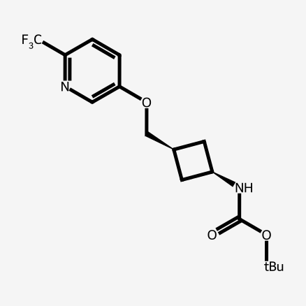 CC(C)(C)OC(=O)N[C@H]1C[C@@H](COc2ccc(C(F)(F)F)nc2)C1